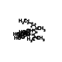 C=CC=CC=CC(C)CCCC(C)C.O=P(O)(O)O.O=P(O)(O)O